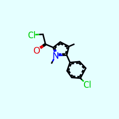 Cc1cc(C(=O)CCl)n(C)c1-c1ccc(Cl)cc1